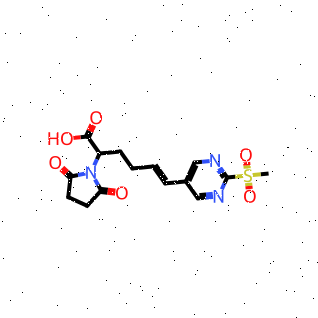 CS(=O)(=O)c1ncc(C=CCCC(C(=O)O)N2C(=O)CCC2=O)cn1